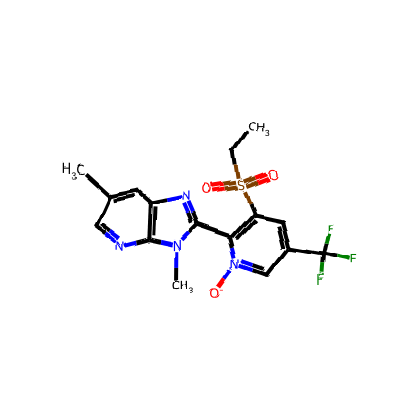 CCS(=O)(=O)c1cc(C(F)(F)F)c[n+]([O-])c1-c1nc2cc(C)cnc2n1C